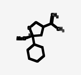 C=C(C)C1CO[C@@](OC)(C2CCCCC2)C1